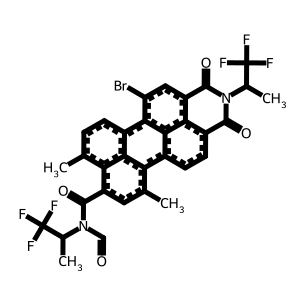 Cc1ccc2c3c(Br)cc4c5c(ccc(c6c(C)cc(C(=O)N(C=O)C(C)C(F)(F)F)c1c26)c53)C(=O)N(C(C)C(F)(F)F)C4=O